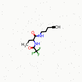 C#CCCCNC(=O)C(CC)NC(=O)C(F)(F)F